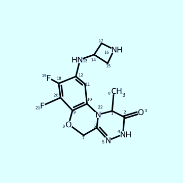 CC1C(=O)NN=C2COc3c(cc(NC4CNC4)c(F)c3F)N21